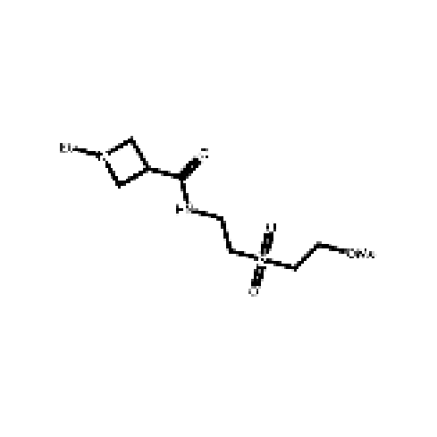 CCN1CC(C(=O)NCCS(=O)(=O)CCOC)C1